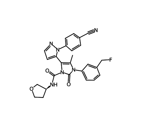 Cc1c(-c2ccnn2-c2ccc(C#N)cc2)n(C(=O)N[C@H]2CCOC2)c(=O)n1-c1cccc(CF)c1